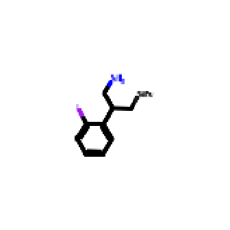 CNCC(CN)c1ccccc1I